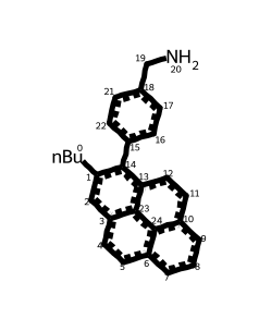 CCCCc1cc2ccc3cccc4ccc(c1-c1ccc(CN)cc1)c2c34